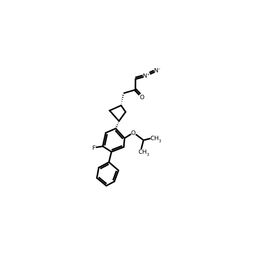 CC(C)Oc1cc(-c2ccccc2)c(F)cc1[C@H]1C[C@@H](CC(=O)C=[N+]=[N-])C1